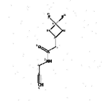 C#CCNC(=O)CC1CC(F)(F)C1